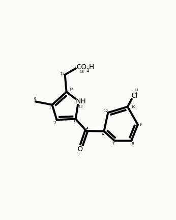 Cc1cc(C(=O)c2cccc(Cl)c2)[nH]c1CC(=O)O